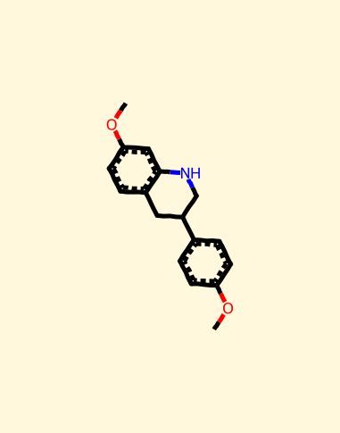 COc1ccc(C2CNc3cc(OC)ccc3C2)cc1